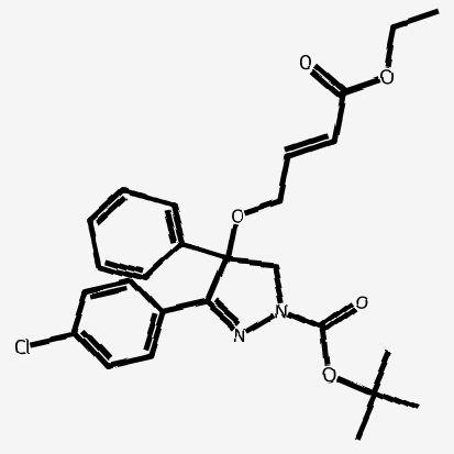 CCOC(=O)C=CCOC1(c2ccccc2)CN(C(=O)OC(C)(C)C)N=C1c1ccc(Cl)cc1